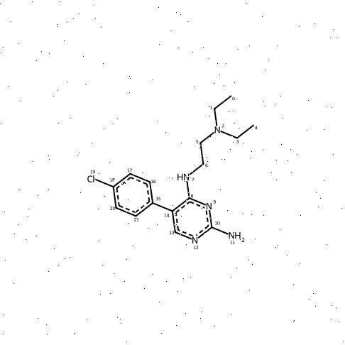 CCN(CC)CCNc1nc(N)ncc1-c1ccc(Cl)cc1